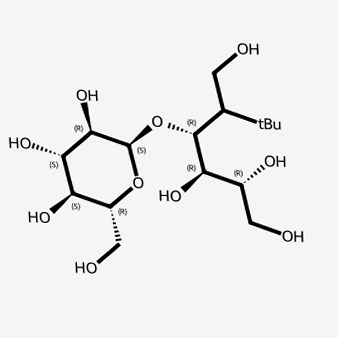 CC(C)(C)C(CO)[C@@H](O[C@H]1O[C@H](CO)[C@@H](O)[C@H](O)[C@H]1O)[C@H](O)[C@H](O)CO